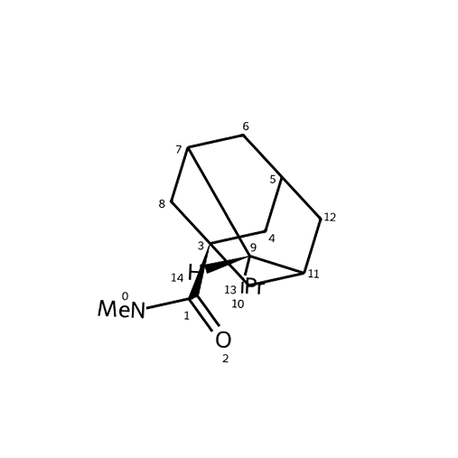 CNC(=O)[C@]12CC3CC(C1)[C@@H](C(C)C)C(C3)C2